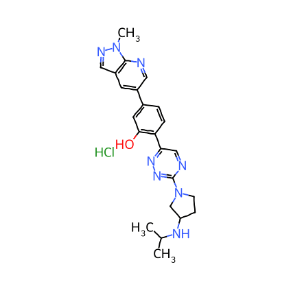 CC(C)NC1CCN(c2ncc(-c3ccc(-c4cnc5c(cnn5C)c4)cc3O)nn2)C1.Cl